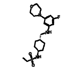 CCS(=O)(=O)N[C@H]1CC[C@H](CNc2cc(F)cc(N3CCOCC3)c2)CC1